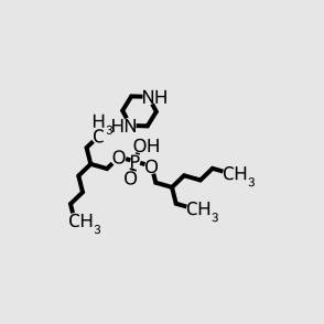 C1CNCCN1.CCCCC(CC)COP(=O)(O)OCC(CC)CCCC